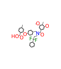 COc1cc(C(=O)N(CCC(F)(F)c2ccccc2)Cc2ccc(Oc3cc(C)ccc3C(=O)O)cc2)cc(OC)c1C